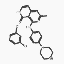 Cc1cc2cc[nH]c(=O)c2c(Nc2ccc(N3CCNCC3)cc2)n1.Clc1cccc(Cl)c1